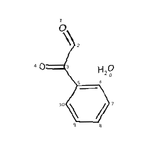 O.O=CC(=O)c1ccccc1